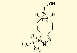 CC(C)(C)n1nnc2c1CC[C@H]1[C@@H](CO)[C@H]1CC2